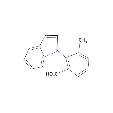 Cc1cccc(C(=O)O)c1-n1ccc2ccccc21